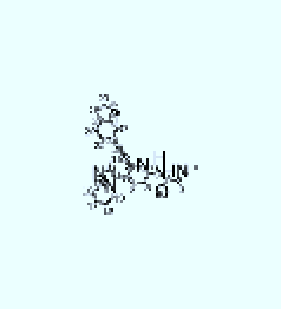 CNC(C)C(=O)Nc1ccc(-c2c(C)nc3ccccn23)c(C#Cc2ccc3ccsc3c2)n1